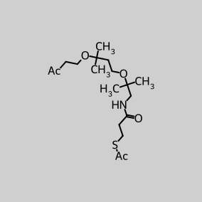 CC(=O)CCOC(C)(C)CCOC(C)(C)CNC(=O)CCSC(C)=O